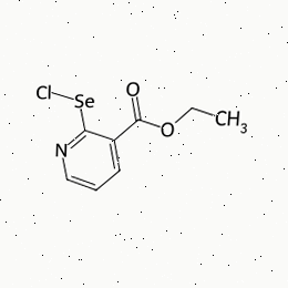 CCOC(=O)c1cccnc1[Se]Cl